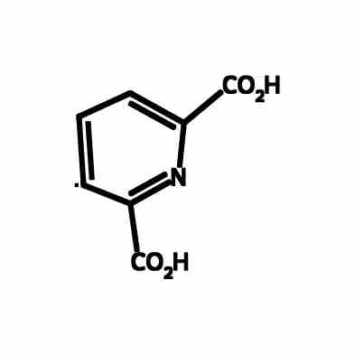 O=C(O)c1[c]ccc(C(=O)O)n1